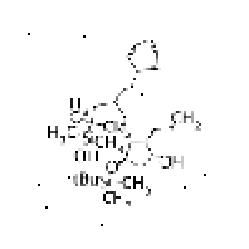 C=CC[C@@H]1[C@@H](/C=C/[C@H](CCc2ccccc2)CC(C)(C)[Si](C)(C)O)[C@H](O[Si](C)(C)C(C)(C)C)C[C@H]1O